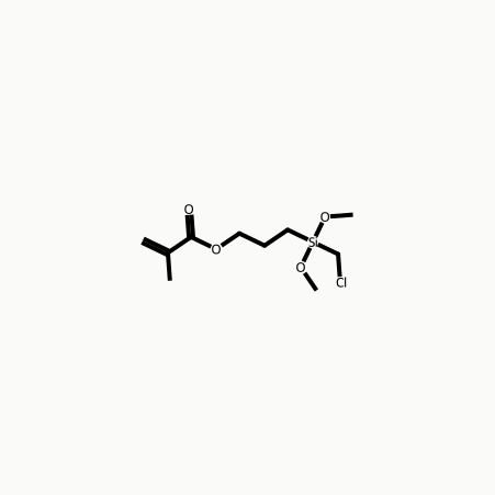 C=C(C)C(=O)OCCC[Si](CCl)(OC)OC